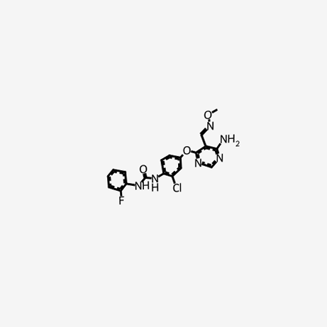 CON=Cc1c(N)ncnc1Oc1ccc(NC(=O)Nc2ccccc2F)c(Cl)c1